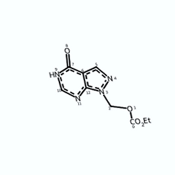 CCOC(=O)OCn1ncc2c(=O)[nH]cnc21